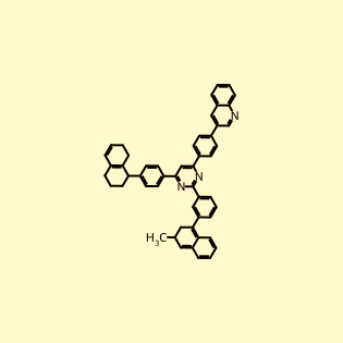 CC1C=c2ccccc2=C(c2cccc(-c3nc(-c4ccc(-c5cnc6ccccc6c5)cc4)cc(-c4ccc(C5CCCC6=C5CCC=C6)cc4)n3)c2)C1